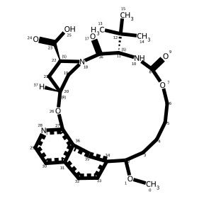 COC1CCCCOC(=O)N[C@@H](C(C)(C)C)C(=O)N2C[C@@H](C[C@H]2C(=O)O)Oc2nccc3ccc1cc23